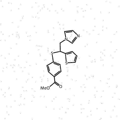 COC(=O)c1ccc(SC(Cn2ccnc2)c2cccs2)cc1